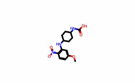 COc1ccc([N+](=O)[O-])c(NC2CCC(NC(=O)O)CC2)c1